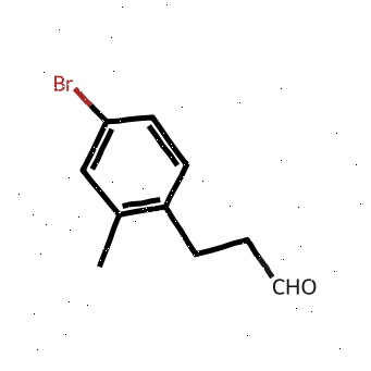 Cc1cc(Br)ccc1CCC=O